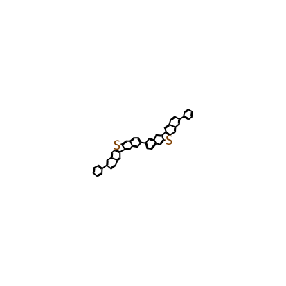 c1ccc(-c2ccc3cc4c(cc3c2)sc2cc3ccc(-c5ccc6cc7sc8cc9cc(-c%10ccccc%10)ccc9cc8c7cc6c5)cc3cc24)cc1